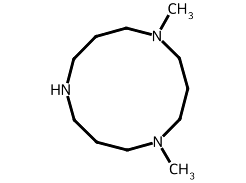 CN1CCCNCCCN(C)CCC1